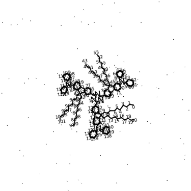 CCCCCCCCCCC1(CCCCCCCCCC)c2cc(-c3nc(-c4ccc5c(c4)C(CCCCCCCCCC)(CCCCCCCCCC)c4cc(N(c6ccccc6)c6ccccc6)ccc4-5)nc(-c4ccc5c(c4)C(CCCCCCCCCC)(CCCCCCCCCC)c4cc(N(c6ccccc6)c6ccccc6)ccc4-5)n3)ccc2-c2ccc(N(c3ccccc3)c3ccccc3)cc21